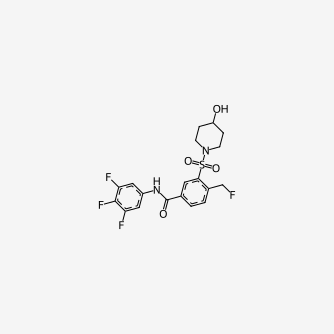 O=C(Nc1cc(F)c(F)c(F)c1)c1ccc(CF)c(S(=O)(=O)N2CCC(O)CC2)c1